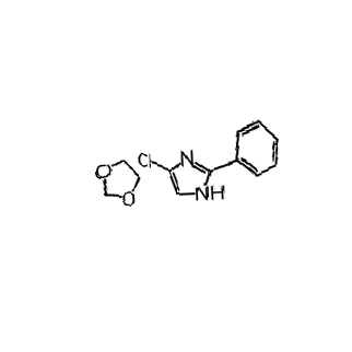 C1COCO1.Clc1c[nH]c(-c2ccccc2)n1